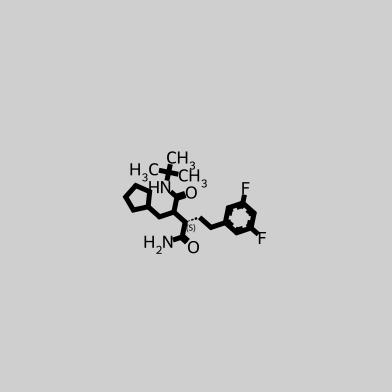 CC(C)(C)NC(=O)C(CC1CCCC1)[C@H](CCc1cc(F)cc(F)c1)C(N)=O